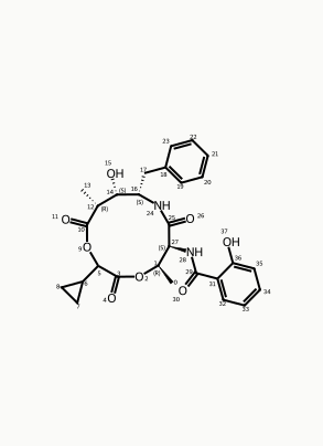 C[C@H]1OC(=O)C(C2CC2)OC(=O)[C@H](C)[C@H](O)[C@H](Cc2ccccc2)NC(=O)[C@H]1NC(=O)c1ccccc1O